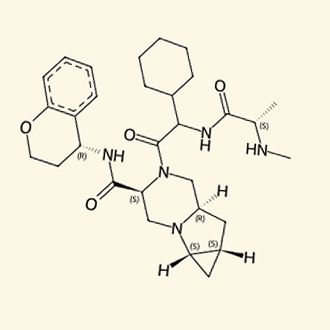 CN[C@@H](C)C(=O)NC(C(=O)N1C[C@H]2C[C@@H]3C[C@@H]3N2C[C@H]1C(=O)N[C@@H]1CCOc2ccccc21)C1CCCCC1